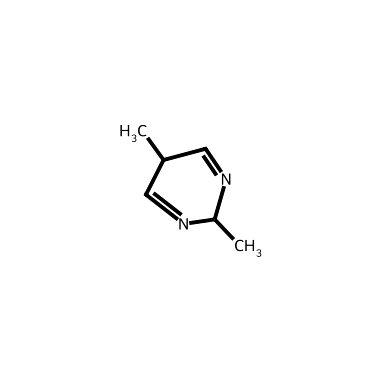 CC1C=NC(C)N=C1